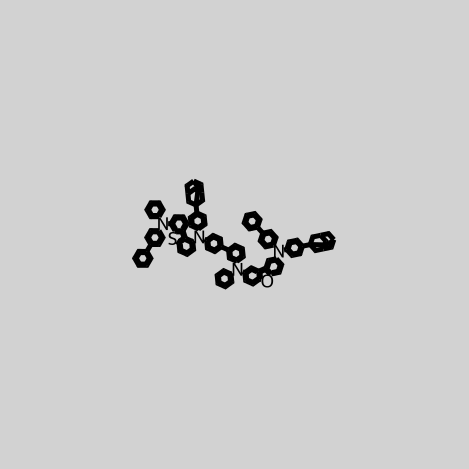 c1ccc(-c2ccc(N(c3ccc(C45CC6CC(CC(C6)C4)C5)cc3)c3ccc4oc5ccc(N(c6ccccc6)c6cccc(-c7ccc(N(c8ccc(C9%10CC%11CC(CC(C%11)C9)C%10)cc8)c8cccc9sc%10c(N(c%11ccccc%11)c%11ccc(-c%12ccccc%12)cc%11)cccc%10c89)cc7)c6)cc5c4c3)cc2)cc1